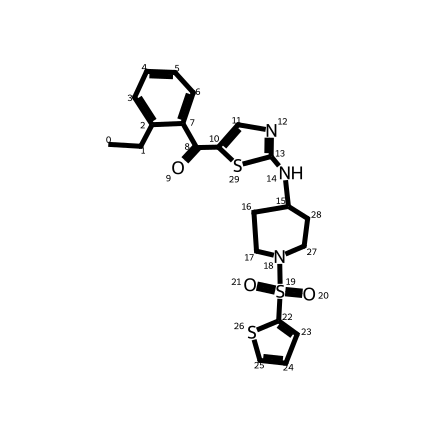 CCc1ccccc1C(=O)c1cnc(NC2CCN(S(=O)(=O)c3cccs3)CC2)s1